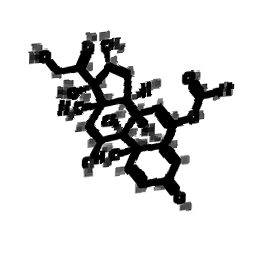 CCC(=O)OC1=C[C@H]2[C@@H]3C[C@@H](C)[C@](O)(C(=O)CO)[C@@]3(C)C[C@H](Cl)[C@]2(Cl)[C@@]2(C)C=CC(=O)C=C12